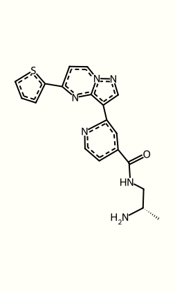 C[C@H](N)CNC(=O)c1ccnc(-c2cnn3ccc(-c4cccs4)nc23)c1